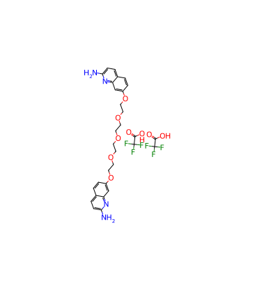 Nc1ccc2ccc(OCCOCCOCCOCCOc3ccc4ccc(N)nc4c3)cc2n1.O=C(O)C(F)(F)F.O=C(O)C(F)(F)F